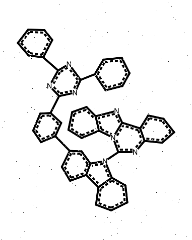 c1ccc(-c2nc(-c3ccccc3)nc(-c3cccc(-c4ccc5c6ccccc6n(-c6nc7ccccc7c7nc8ccccc8n67)c5c4)c3)n2)cc1